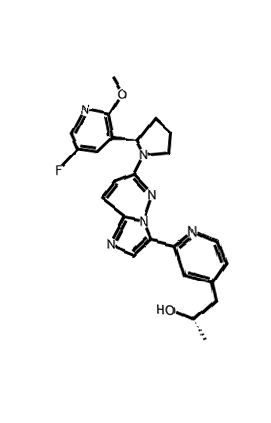 COc1ncc(F)cc1[C@H]1CCCN1c1ccc2ncc(-c3cc(C[C@H](C)O)ccn3)n2n1